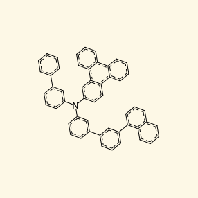 c1ccc(-c2cccc(N(c3cccc(-c4cccc(-c5cccc6ccccc56)c4)c3)c3ccc4c5ccccc5c5ccccc5c4c3)c2)cc1